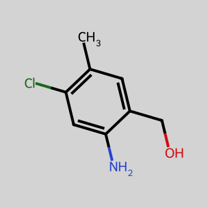 Cc1cc(CO)c(N)cc1Cl